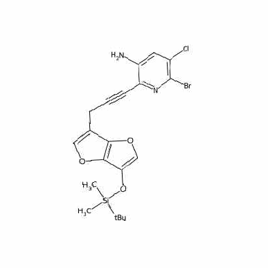 CC(C)(C)[Si](C)(C)Oc1coc2c(CC#Cc3nc(Br)c(Cl)cc3N)coc12